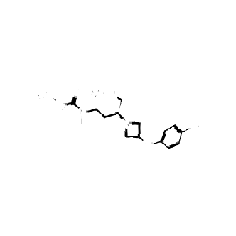 COC[C@H](CCNC(=O)OC(C)(C)C)N1CC(Oc2ccc(Cl)cc2)C1